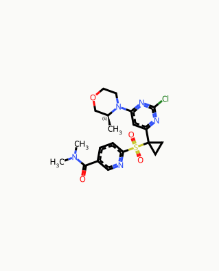 C[C@H]1COCCN1c1cc(C2(S(=O)(=O)c3ccc(C(=O)N(C)C)cn3)CC2)nc(Cl)n1